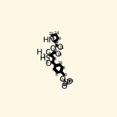 C[C@](S)(CC(=O)c1ccc(CO[N+](=O)[O-])cc1)C(=O)OC(=O)[C@@H]1CCCN1